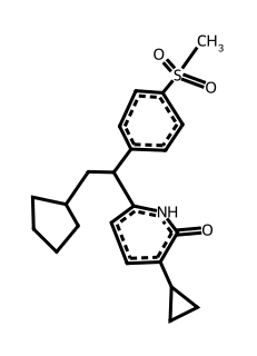 CS(=O)(=O)c1ccc(C(CC2CCCC2)c2ccc(C3CC3)c(=O)[nH]2)cc1